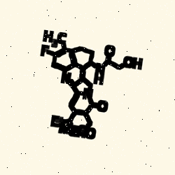 CCC(C=O)c1cc2n(c(=O)c1COC)Cc1c-2nc2cc(F)c(C)c3c2c1C(NC(=O)CO)CC3